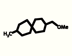 COCC1CCC2(CCC(C)CC2)CC1